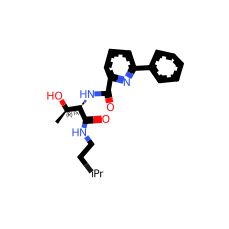 CC(C)CCNC(=O)[C@@H](NC(=O)c1cccc(-c2ccccc2)n1)[C@@H](C)O